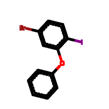 Brc1ccc(I)c(Oc2ccccc2)c1